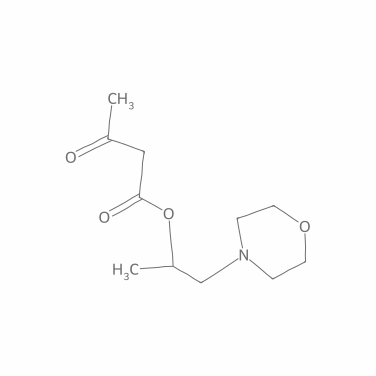 CC(=O)CC(=O)OC(C)CN1CCOCC1